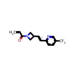 C=CC(=O)N1CC(/C=C/c2ccc(C(F)(F)F)cn2)C1